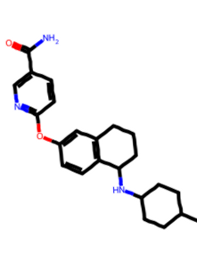 CC1CCC(NC2CCCc3cc(Oc4ccc(C(N)=O)cn4)ccc32)CC1